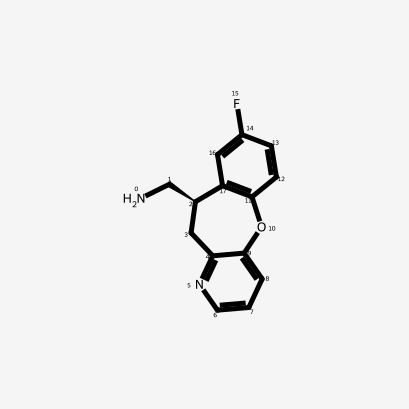 NC[C@@H]1Cc2ncccc2Oc2ccc(F)cc21